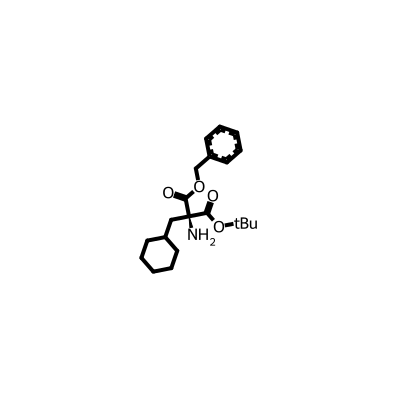 CC(C)(C)OC(=O)[C@](N)(CC1CCCCC1)C(=O)OCc1ccccc1